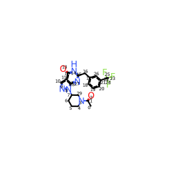 CC(=O)N1CCCC(n2ncc3c(=O)[nH]c(Cc4cccc(C(F)(F)F)c4)nc32)C1